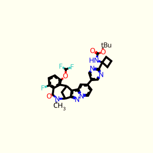 CN1C(=O)c2c(F)ccc(OC(F)F)c2C2CC1c1nn3ccc(-c4cnc(C5(NC(=O)OC(C)(C)C)CCC5)nc4)cc3c12